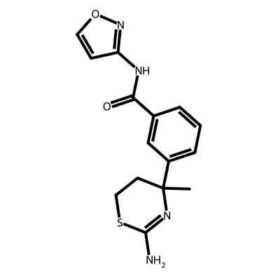 CC1(c2cccc(C(=O)Nc3ccon3)c2)CCSC(N)=N1